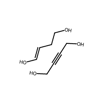 OC=CCCO.OCC#CCO